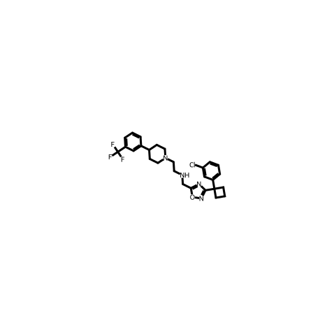 FC(F)(F)c1cccc(C2CCN(CCNCc3nc(C4(c5cccc(Cl)c5)CCC4)no3)CC2)c1